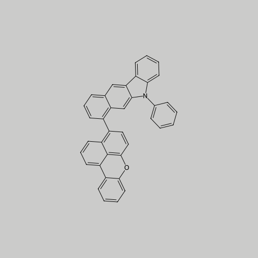 c1ccc(-n2c3ccccc3c3cc4cccc(-c5ccc6c7c(cccc57)-c5ccccc5O6)c4cc32)cc1